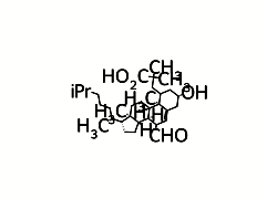 CC(C)CCC[C@@H](C)[C@H]1CC[C@H]2[C@@H]3C(C=O)C=C4C[C@@H](O)CC(CC(C)(C)C(=O)O)[C@]4(C)[C@H]3CC[C@]12C